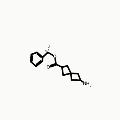 C[C@H](OC(=O)C1CC2(CC(N)C2)C1)c1ccccc1